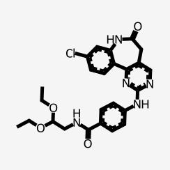 CCOC(CNC(=O)c1ccc(Nc2ncc3c(n2)-c2ccc(Cl)cc2NC(=O)C3)cc1)OCC